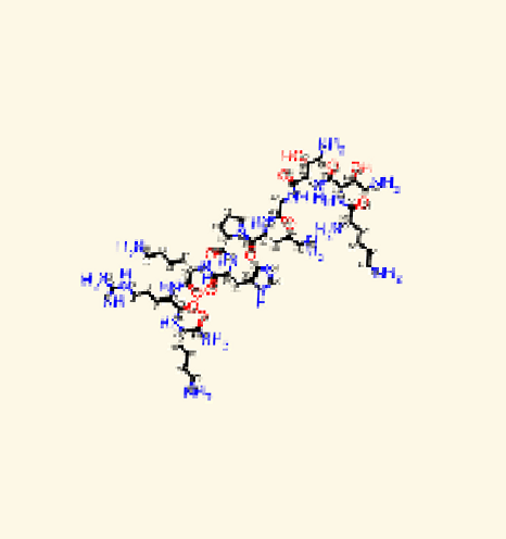 N=C(N)NCC/C=C(\NC(=O)[C@H](CCCCN)NC(=O)[C@H](Cc1cnc[nH]1)NC(=O)[C@@H]1CCCN1C(=O)[C@@H](CCCN)NC(=O)CNC(=O)[C@@H](NC(=O)[C@@H](NC(=O)[C@@H](N)CCCCN)[C@@H](O)CN)[C@@H](O)CN)C(=O)N[C@@H](CCCCN)C(N)=O